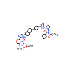 COC[C@H](NC(=O)OC)C(=O)N1CCOC[C@H]1c1ncc(-c2ccc3cc(-c4ccc(-c5cnc([C@@H]6CCCN6C(=O)[C@H](NC(=O)OC)c6ccccc6)[nH]5)cc4)ccc3c2)[nH]1